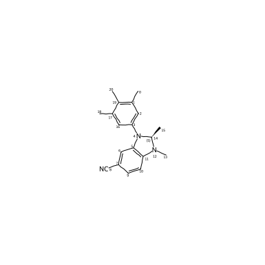 Cc1cc(N2c3cc(C#N)ccc3N(C)[C@@H]2C)cc(C)c1C